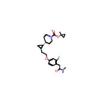 CN(C)C(=O)Cc1ccc(OCC[C@H]2C[C@@H]2C2CCN(C(=O)OC3(C)CC3)CC2)cc1F